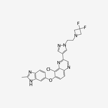 Cc1nc2ccc(Oc3ccc4ncc(-c5cnn(CCN6CC(F)(F)C6)c5)nc4c3Cl)cc2[nH]1